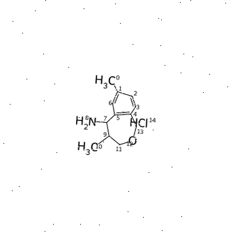 Cc1ccc2c(c1)C(N)C(C)COC2.Cl